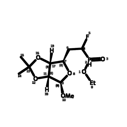 CCO[PH](=O)C(F)C[C@H]1O[C@@H](OC)[C@@H]2OC(C)(C)O[C@@H]21